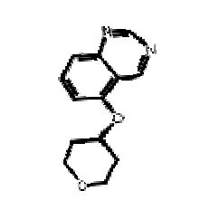 c1cc(OC2CCOCC2)c2cncnc2c1